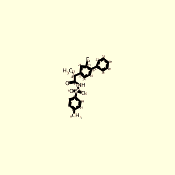 Cc1ccc(S(=O)(=O)NC(=O)[C@H](C)c2ccc(-c3ccccc3)c(F)c2)cc1